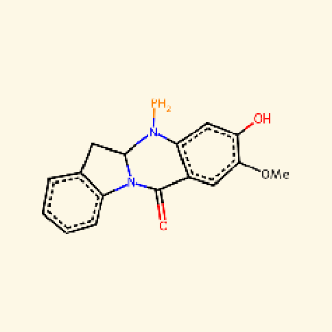 COc1cc2c(cc1O)N(P)C1Cc3ccccc3N1C2=O